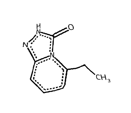 CCc1cccc2n[nH]c(=O)n12